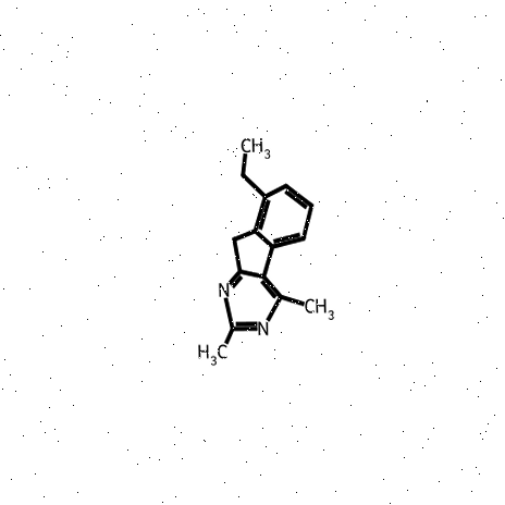 CCc1cccc2c1Cc1nc(C)nc(C)c1-2